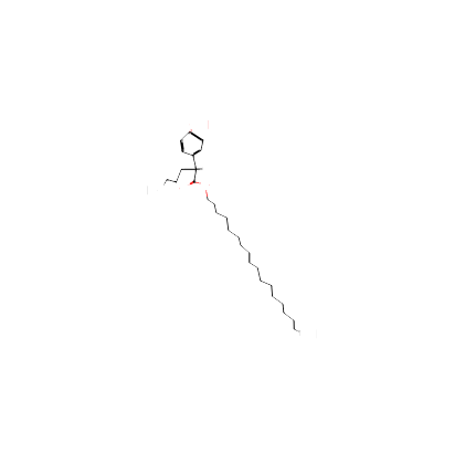 CCCCCCCCCCCCCCCCCCOC(=O)C(C)(CCCC)c1ccc(O)cc1